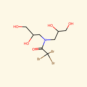 O=C(N(CC(O)CO)CC(O)CO)C(Br)(Br)Br